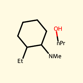 CCC1CCCCC1NC.CCCO